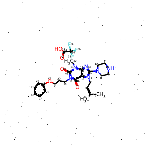 CC(C)=CCn1c(N2CCNCC2)nc2c1c(=O)n(CCCOc1ccccc1)c(=O)n2C.O=C(O)C(F)(F)F